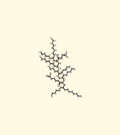 CCCCCCCCC(CCCCCC)CN(CC(CCCCCC)CCC(CCCCC)C(CCCC)CC(CCCCCCCC)CN(CC(CCCCCC)CCCCCCCC)C(=O)CCN(C)C)C(=O)CCCCN(C)C